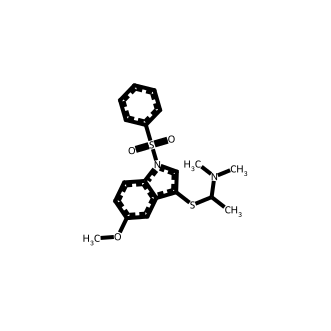 COc1ccc2c(c1)c(SC(C)N(C)C)cn2S(=O)(=O)c1ccccc1